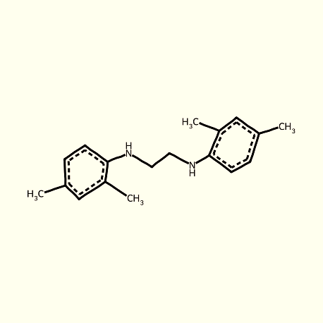 Cc1ccc(NCCNc2ccc(C)cc2C)c(C)c1